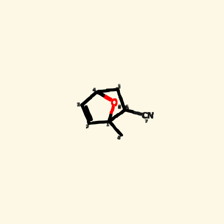 CC12C=CC(CC1C#N)O2